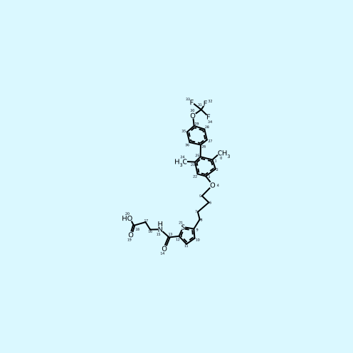 Cc1cc(OCCCCc2ccc(C(=O)NCCC(=O)O)s2)cc(C)c1-c1ccc(OC(F)(F)F)cc1